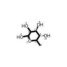 CC1OC(O)C(O)[C@@H](O)[C@@H]1O